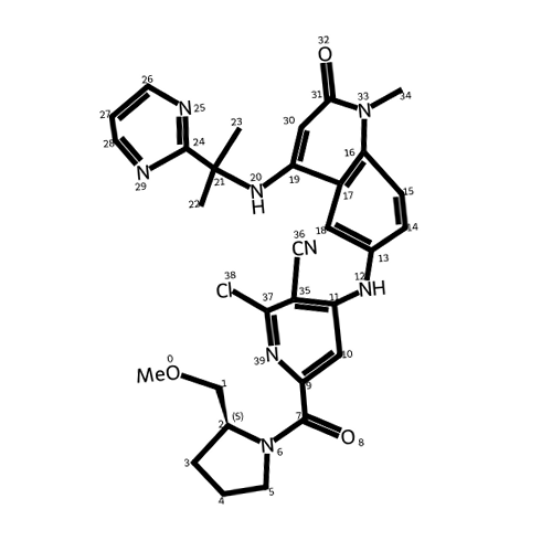 COC[C@@H]1CCCN1C(=O)c1cc(Nc2ccc3c(c2)c(NC(C)(C)c2ncccn2)cc(=O)n3C)c(C#N)c(Cl)n1